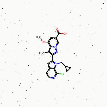 COc1cc(C(=O)O)cn2nc(-c3cc4ccnc(Cl)c4n3CC3CC3)c(C)c12